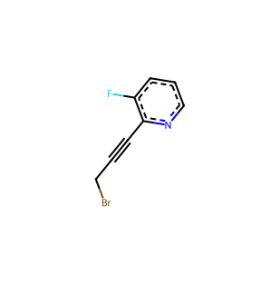 Fc1cccnc1C#CCBr